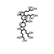 O=C1N(CN2C(=O)NC(CCC(O)CO)C2CCC(O)CO)C(O)C(O)N1CN1C(=O)NC(CCC(O)CO)C1CCC(O)CO